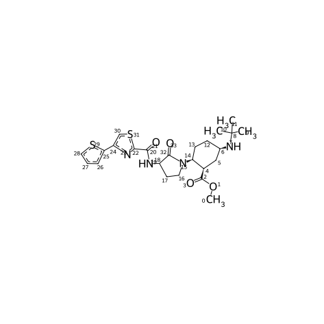 COC(=O)[C@@H]1C[C@H](NC(C)(C)C)CC[C@@H]1N1CCC(NC(=O)c2nc(-c3cccs3)cs2)C1=O